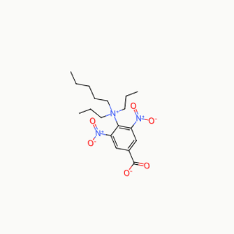 CCCCC[N+](CCC)(CCC)c1c([N+](=O)[O-])cc(C(=O)[O-])cc1[N+](=O)[O-]